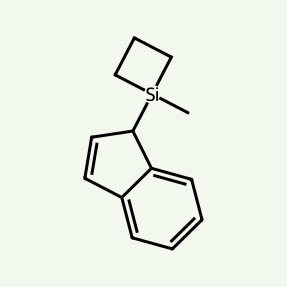 C[Si]1(C2C=Cc3ccccc32)CCC1